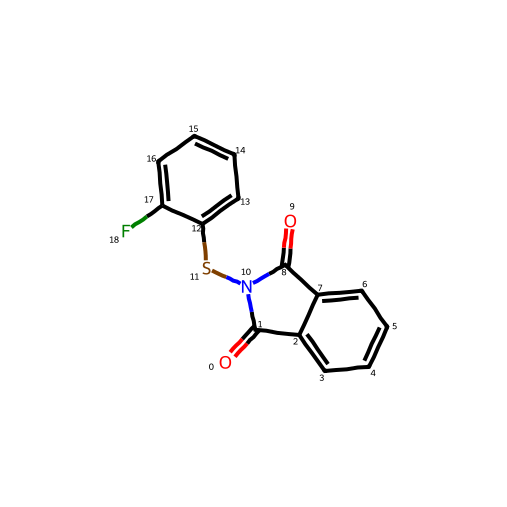 O=C1c2ccccc2C(=O)N1Sc1ccccc1F